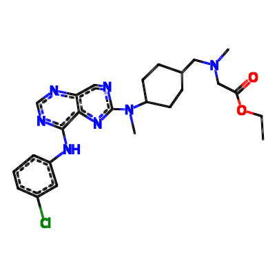 CCOC(=O)CN(C)CC1CCC(N(C)c2ncc3ncnc(Nc4cccc(Cl)c4)c3n2)CC1